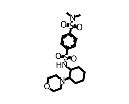 CN(C)S(=O)(=O)c1ccc(S(=O)(=O)NC2CCCCC2N2CCOCC2)cc1